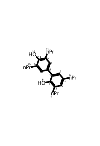 CCCc1cc(CCC)c(O)c(-c2cc(CCC)c(O)c(CCC)c2)c1